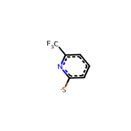 FC(F)(F)c1cccc([S])n1